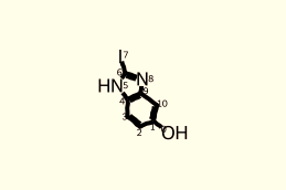 Oc1ccc2[nH]c(I)nc2c1